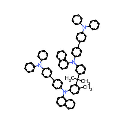 Cc1ccc(N(c2ccc(-c3ccc(N(c4ccccc4)c4ccccc4)cc3)cc2)c2cccc3ccccc23)cc1C(C)(C)c1cccc(N(c2ccc(-c3ccc(N(c4ccccc4)c4ccccc4)cc3)cc2)c2cccc3ccccc23)c1